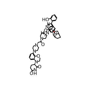 Nc1nnc(-c2ccccc2O)cc1N1CC2CCC(C1)N2c1cccc(OC2CCN(C(=O)CN3CCN(c4cccc5c4OCCN5C4CCC(=O)NC4=O)CC3)CC2)c1